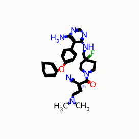 CN(C)C/C=C(\C#N)C(=O)N1CCC(F)(CNc2ncnc(N)c2-c2ccc(Oc3ccccc3)cc2)CC1